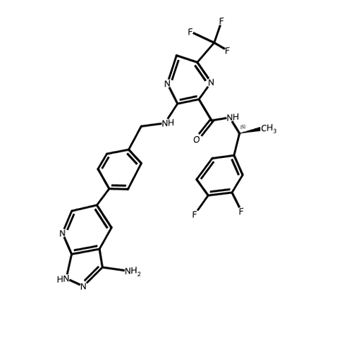 C[C@H](NC(=O)c1nc(C(F)(F)F)cnc1NCc1ccc(-c2cnc3[nH]nc(N)c3c2)cc1)c1ccc(F)c(F)c1